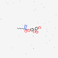 CCCCCCNC(=O)COc1ccc2c(c1)oc(=O)c1cc(OC)ccc12